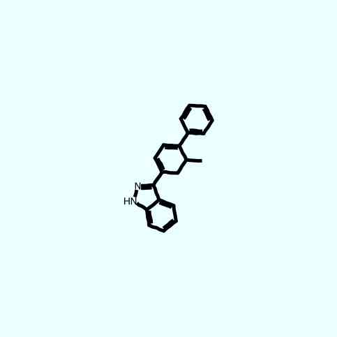 CC1CC(c2n[nH]c3ccccc23)=CC=C1c1ccccc1